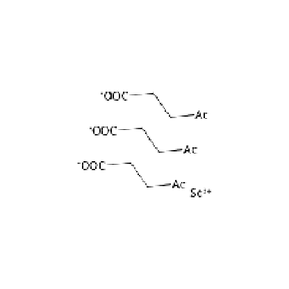 CC(=O)CCC(=O)[O-].CC(=O)CCC(=O)[O-].CC(=O)CCC(=O)[O-].[Sc+3]